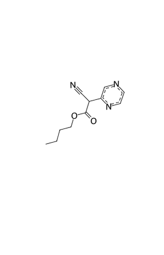 CCCCOC(=O)C(C#N)c1cnccn1